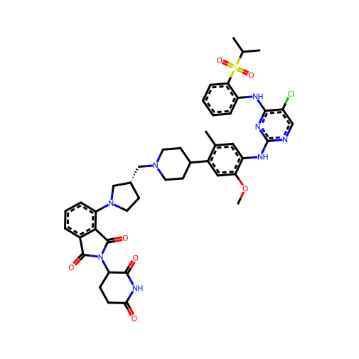 COc1cc(C2CCN(C[C@@H]3CCN(c4cccc5c4C(=O)N(C4CCC(=O)NC4=O)C5=O)C3)CC2)c(C)cc1Nc1ncc(Cl)c(Nc2ccccc2S(=O)(=O)C(C)C)n1